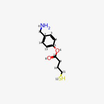 NCc1ccc(OC(=O)CCCS)cc1